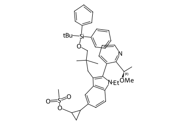 CCn1c(-c2cccnc2[C@@H](C)OC)c(CC(C)(C)CO[Si](c2ccccc2)(c2ccccc2)C(C)(C)C)c2cc(C3CC3OS(C)(=O)=O)ccc21